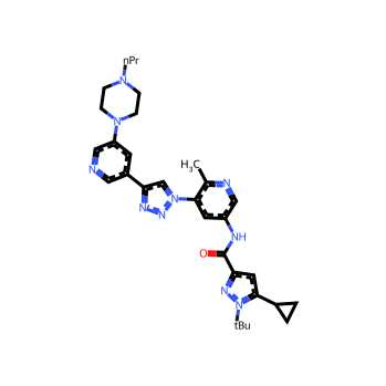 CCCN1CCN(c2cncc(-c3cn(-c4cc(NC(=O)c5cc(C6CC6)n(C(C)(C)C)n5)cnc4C)nn3)c2)CC1